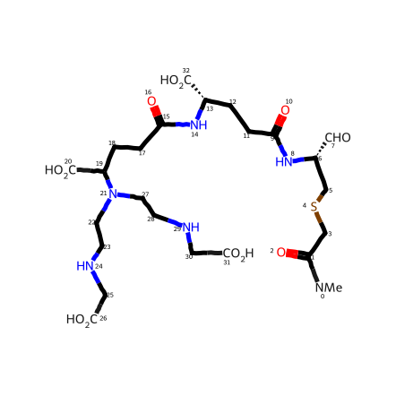 CNC(=O)CSC[C@@H](C=O)NC(=O)CC[C@H](NC(=O)CCC(C(=O)O)N(CCNCC(=O)O)CCNCC(=O)O)C(=O)O